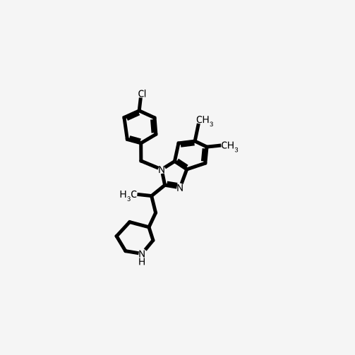 Cc1cc2nc(C(C)CC3CCCNC3)n(Cc3ccc(Cl)cc3)c2cc1C